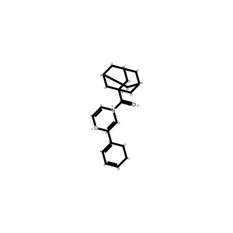 O=C(N1C=COC(C2=CC=CCC2)=C1)C12CC3CC(CC(C3)C1)C2